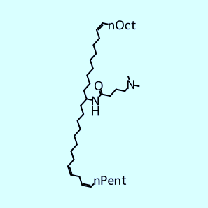 CCCCC/C=C\C/C=C\CCCCCCCCC(CCCCCCCC/C=C\CCCCCCCC)NC(=O)CCCN(C)C